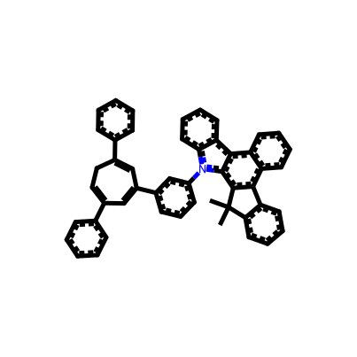 CC1(C)c2ccccc2-c2c1c1c(c3ccccc23)c2ccccc2n1-c1cccc(C2=CC(c3ccccc3)=CCC(c3ccccc3)=C2)c1